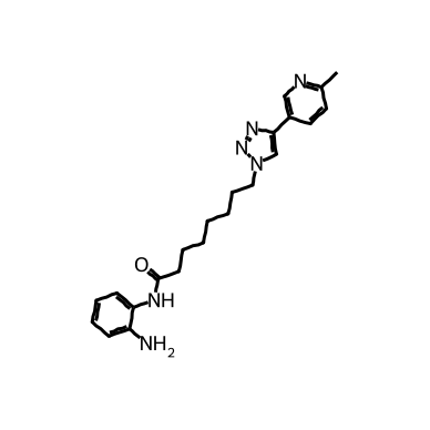 Cc1ccc(-c2cn(CCCCCCCC(=O)Nc3ccccc3N)nn2)cn1